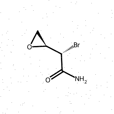 NC(=O)[C@@H](Br)[C@@H]1CO1